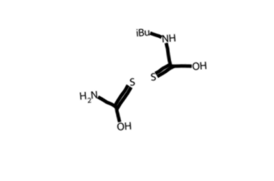 CCC(C)NC(O)=S.NC(O)=S